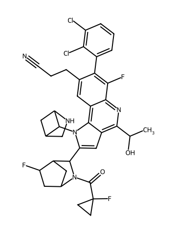 CC(O)c1nc2c(F)c(-c3cccc(Cl)c3Cl)c(CCC#N)cc2c2c1cc(C1C3CC(CC3F)N1C(=O)C1(F)CC1)n2C1C2CNC1C2